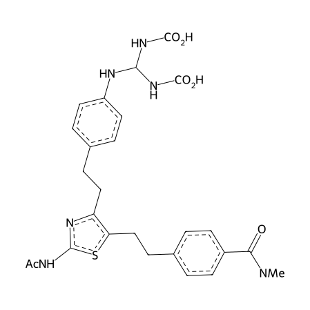 CNC(=O)c1ccc(CCc2sc(NC(C)=O)nc2CCc2ccc(NC(NC(=O)O)NC(=O)O)cc2)cc1